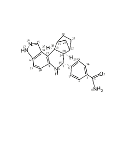 NC(=O)c1ccc([C@@H]2Nc3ccc4[nH]ncc4c3[C@H]3C4CCC(C4)[C@@H]23)cc1